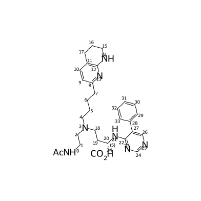 CC(=O)NCCN(CCCCc1ccc2c(n1)NCCC2)CC[C@H](Nc1ncncc1-c1ccccc1)C(=O)O